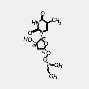 Cc1cn([C@@H]2O[C@H](OOP(O)CO)C[C@@H]2O)c(=O)[nH]c1=O